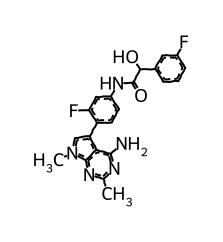 Cc1nc(N)c2c(-c3ccc(NC(=O)C(O)c4cccc(F)c4)cc3F)cn(C)c2n1